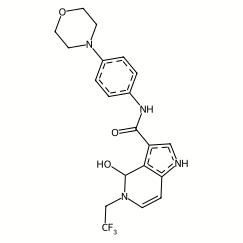 O=C(Nc1ccc(N2CCOCC2)cc1)c1c[nH]c2c1C(O)N(CC(F)(F)F)C=C2